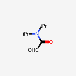 CC(C)N(C(=O)C=O)C(C)C